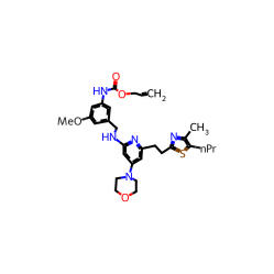 C=CCOC(=O)Nc1cc(CNc2cc(N3CCOCC3)cc(CCc3nc(C)c(CCC)s3)n2)cc(OC)c1